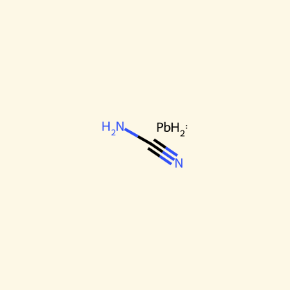 N#CN.[PbH2]